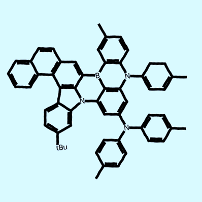 CC1=CC=C(N2c3ccc(C)cc3B3c4c2cc(N(c2ccc(C)cc2)c2ccc(C)cc2)cc4-n2c4cc(C(C)(C)C)ccc4c4c5c(ccc6ccccc65)cc3c42)CC1